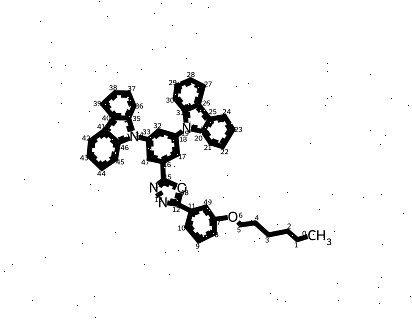 CCCCCCOc1cccc(-c2nnc(-c3cc(-n4c5ccccc5c5ccccc54)cc(-n4c5ccccc5c5ccccc54)c3)o2)c1